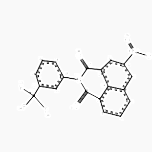 O=C1c2cccc3cc([N+](=O)[O-])cc(c23)C(=O)N1c1cccc(C(F)(F)F)c1